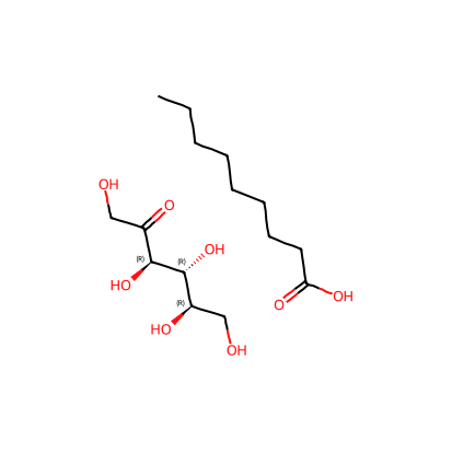 CCCCCCCCC(=O)O.O=C(CO)[C@H](O)[C@H](O)[C@H](O)CO